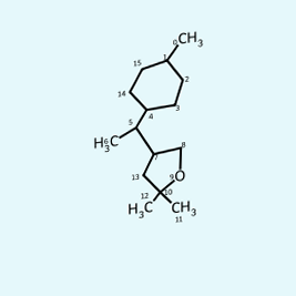 CC1CCC(C(C)C2COC(C)(C)C2)CC1